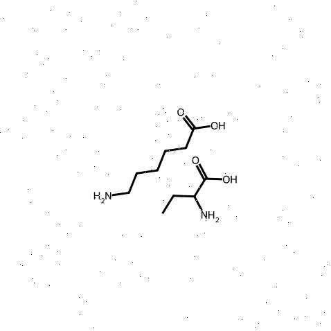 CCC(N)C(=O)O.NCCCCCC(=O)O